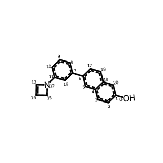 Oc1ccc2cc(-c3cccc(N4C=CC4)c3)ccc2c1